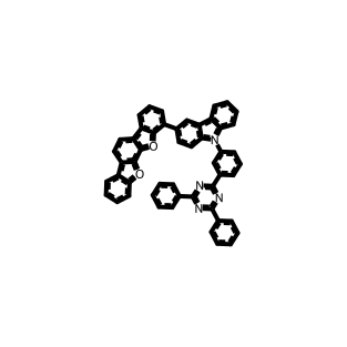 c1ccc(-c2nc(-c3ccccc3)nc(-c3cccc(-n4c5ccccc5c5cc(-c6cccc7c6oc6c7ccc7c8ccccc8oc76)ccc54)c3)n2)cc1